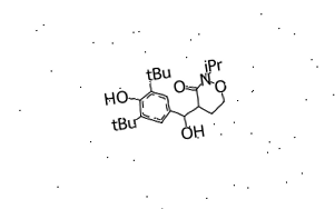 CC(C)N1OCCC(C(O)c2cc(C(C)(C)C)c(O)c(C(C)(C)C)c2)C1=O